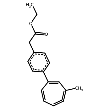 CCOC(=O)Cc1ccc(C2=CC(C)=C=CC=C2)cc1